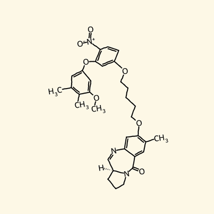 COc1cc(Oc2cc(OCCCCCOc3cc4c(cc3C)C(=O)N3CCC[C@H]3C=N4)ccc2[N+](=O)[O-])cc(C)c1C